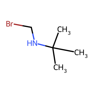 CC(C)(C)NCBr